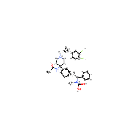 CC(=O)NC1(c2ccccc2)CCN(C[C@@H]2C[C@@H]2c2ccc(F)c(F)c2)CC1.CC(c1ccccc1)N(C)C(=O)O